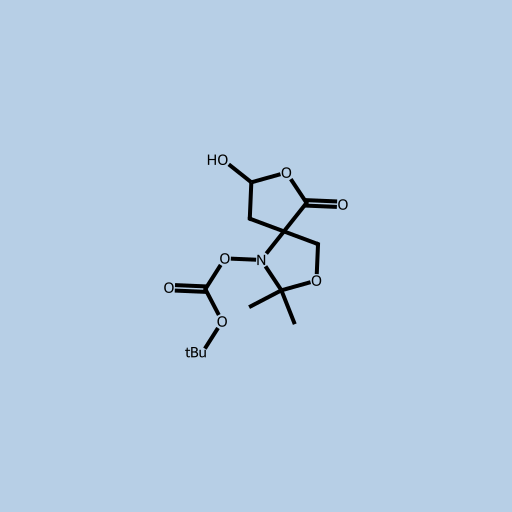 CC(C)(C)OC(=O)ON1C(C)(C)OCC12CC(O)OC2=O